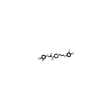 O=C(COc1ccc(Cl)c(F)c1)NC1CCN(CCCOc2ccc(Cl)c(F)c2)CC1